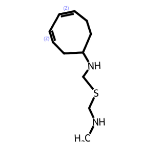 CNCSCNC1C/C=C\C=C/CC1